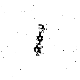 [2H]C([2H])(CO)OCc1ccc(COc2cnn(C(C)(C)C)c(=O)c2Cl)cc1